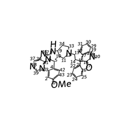 COc1ccc(Cn2c(NC3CCN(CCC(C(=O)N(C)C)(c4ccccc4)c4ccccc4)CC3)nc3cncnc32)cc1